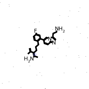 C=C(C)/C(CCCc1ccc(F)cc1-c1ccc2ncc(CCN)n2c1)=C(/C)N